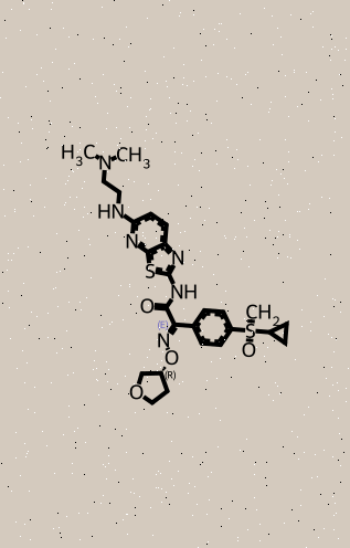 C=S(=O)(c1ccc(/C(=N\O[C@@H]2CCOC2)C(=O)Nc2nc3ccc(NCCN(C)C)nc3s2)cc1)C1CC1